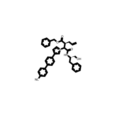 C=CC[C@H](C(=O)OCc1ccccc1)C(C(=O)N[C@H](CO)Cc1ccccc1)n1ccc(-c2ccc(-c3ccc(C#N)cc3)cc2)c1